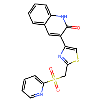 O=c1[nH]c2ccccc2cc1-c1csc(CS(=O)(=O)c2ccccn2)n1